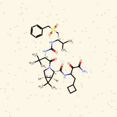 CC(C)[C@@H](CS(=O)(=O)Cc1ccccc1)NC(=O)N[C@H](C(=O)N1C[C@H]2[C@@H]([C@H]1C(=O)NC(CC1CCC1)C(=O)C(N)=O)C2(C)C)C(C)(C)C